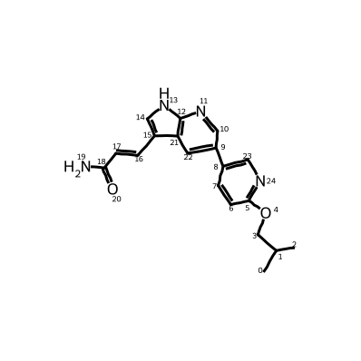 CC(C)COc1ccc(-c2cnc3[nH]cc(C=CC(N)=O)c3c2)cn1